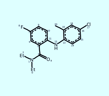 CCN(CC)C(=O)c1cc(F)ccc1Nc1ccc(Cl)cc1C